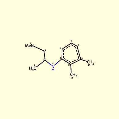 CNCC(C)Nc1cccc(C)c1C